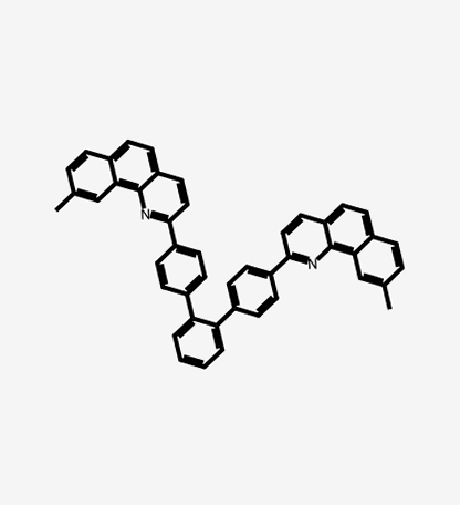 Cc1ccc2ccc3ccc(-c4ccc(-c5ccccc5-c5ccc(-c6ccc7ccc8ccc(C)cc8c7n6)cc5)cc4)nc3c2c1